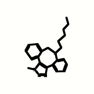 CCCCCCN1Cc2ccccc2-c2c(nnn2C)-c2ccccc21